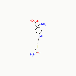 NCC1(CC(=O)O)CCC(NCCCSCC(N)=O)CC1